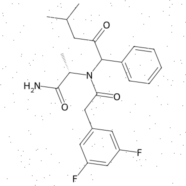 CC(C)CC(=O)C(c1ccccc1)N(C(=O)Cc1cc(F)cc(F)c1)[C@@H](C)C(N)=O